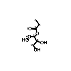 CCC(=O)OC(OO)C(O)CO